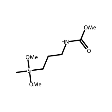 COC(=O)NCCC[Si](C)(OC)OC